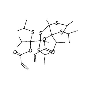 C=CC(=O)OC(SC(C)C)(C(C)C)C(C)(SC(C)C)SC(C)(SC(C)C)C(OC(=O)C=C)(SC(C)C)C(C)C